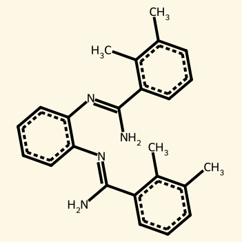 Cc1cccc(C(N)=Nc2ccccc2N=C(N)c2cccc(C)c2C)c1C